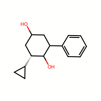 OC1CC(c2ccccc2)C(O)[C@H](C2CC2)C1